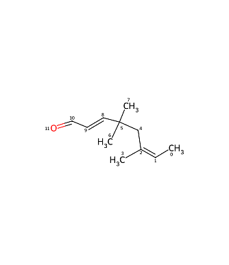 CC=C(C)CC(C)(C)C=CC=O